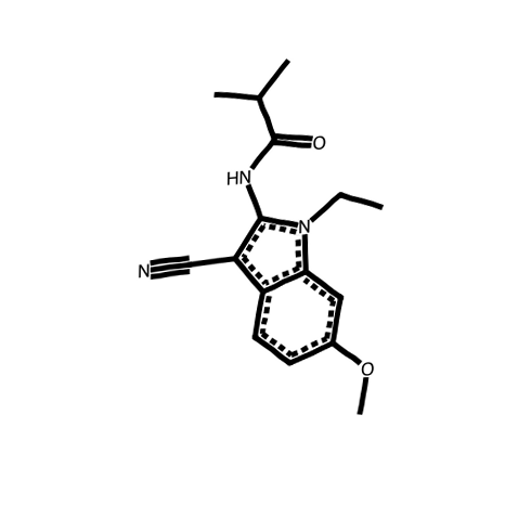 CCn1c(NC(=O)C(C)C)c(C#N)c2ccc(OC)cc21